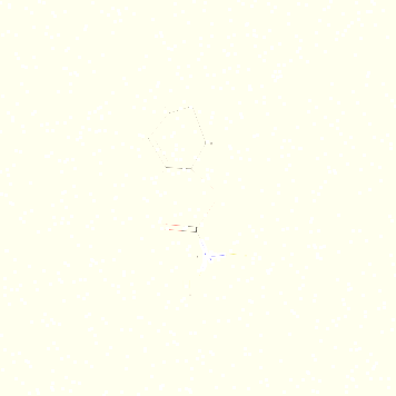 O=C(OC1C=CCCC1)N(S)S